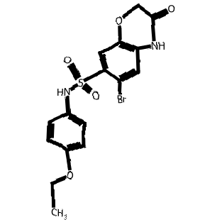 CCOc1ccc(NS(=O)(=O)c2cc3c(cc2Br)NC(=O)CO3)cc1